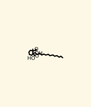 CCCCCCCCCCCCCCC1(C(=O)O)CCCCC1(C)C(=O)O